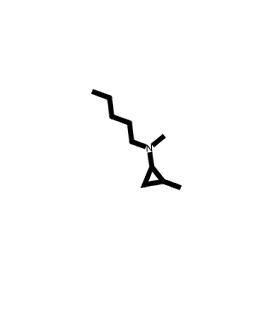 CCCCCN(C)C1CC1C